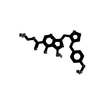 CCOC(=O)c1cnc2c(c(C)nn2Cc2nncn2Cc2ccc(OC)cc2)c1Cl